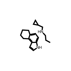 CCCNCC1CC1.c1cc2c3c(ccc2[nH]1)CCCC3